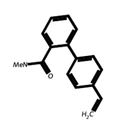 C=Cc1ccc(-c2ccccc2C(=O)NC)cc1